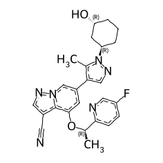 Cc1c(-c2cc(O[C@H](C)c3ccc(F)cn3)c3c(C#N)cnn3c2)cnn1[C@@H]1CCC[C@@H](O)C1